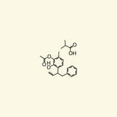 C=CC(Cc1ccccc1)c1ccc(C)c(OC(C)=O)c1O.CC(C)C(=O)O